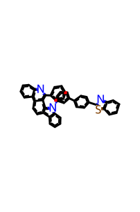 c1ccc(-c2nc3ccccc3c3ccc4c5ccccc5n(-c5cccc(-c6ccc(-c7nc8ccccc8s7)cc6)c5)c4c23)cc1